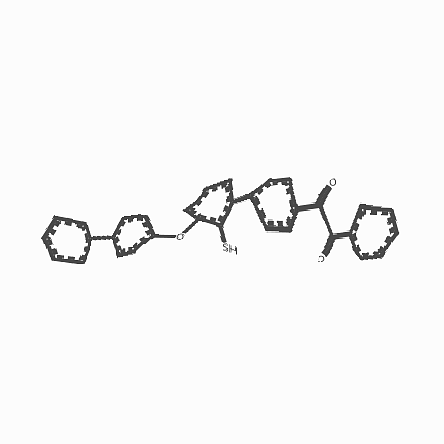 O=C(C(=O)c1ccc(-c2cccc(Oc3ccc(-c4ccccc4)cc3)c2S)cc1)c1ccccc1